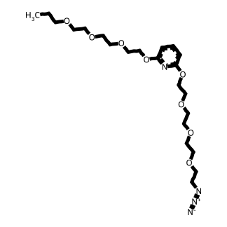 CCCOCCOCCOCCOc1cccc(OCCOCCOCCOCCN=[N+]=[N-])n1